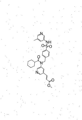 COC(=O)/C=C/c1cncc(N(Cc2ccc(S(=O)(=O)Nc3cncc(C)c3)cc2)C(=O)C2CCCCC2)c1